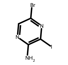 Nc1ncc(Br)nc1I